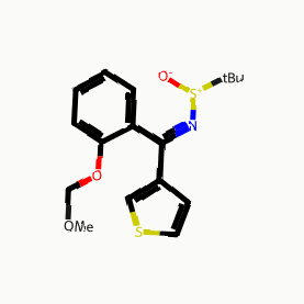 COCOc1ccccc1/C(=N\[S+]([O-])C(C)(C)C)c1ccsc1